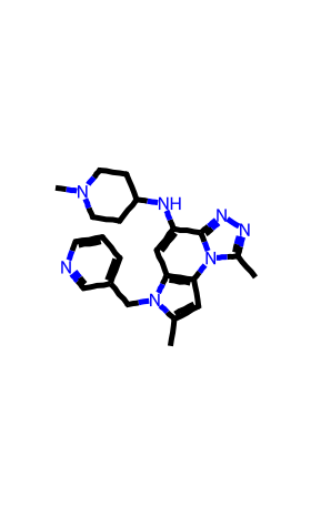 Cc1cc2c(cc(NC3CCN(C)CC3)c3nnc(C)n32)n1Cc1cccnc1